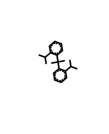 CC(C)c1ccccc1C(C)(C)c1ccccc1C(C)C